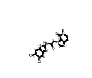 Cn1ccc2ncn(CC(=O)Nc3nc4cc(Cl)c(Cl)cc4s3)c2c1=O